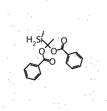 C[SiH2]C(C)(OC(=O)c1ccccc1)OC(=O)c1ccccc1